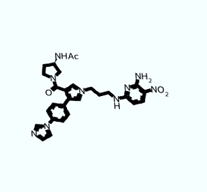 CC(=O)N[C@H]1CCN(C(=O)c2cn(CCCNc3ccc([N+](=O)[O-])c(N)n3)cc2-c2ccc(-n3ccnc3)cc2)C1